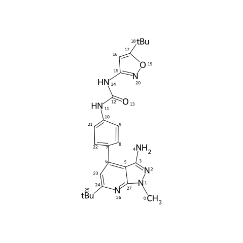 Cn1nc(N)c2c(-c3ccc(NC(=O)Nc4cc(C(C)(C)C)on4)cc3)cc(C(C)(C)C)nc21